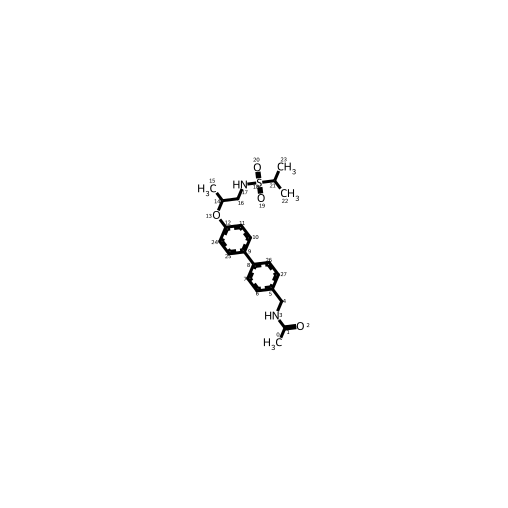 CC(=O)NCc1ccc(-c2ccc(OC(C)CNS(=O)(=O)C(C)C)cc2)cc1